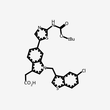 CC(C)(C)OC(=O)Nc1ncc(-c2ccc3c(CC(=O)O)cn(Cc4csc5ccc(Cl)cc45)c3c2)s1